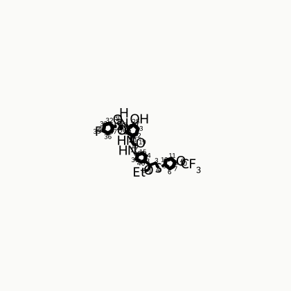 CCOC(CSc1ccc(OC(F)(F)F)cc1)c1ccc(NC(=O)Nc2ccc(O)c(NS(=O)(=O)c3ccc(F)cc3)c2)cc1